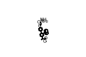 C=C(C(=O)OC)c1ccc(-c2ccc(OCC(=O)NN)cc2)c(C23CC4CC(CC(C4)C2)C3)c1